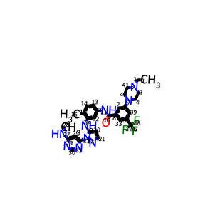 CCN1CCN(c2cc(C(=O)Nc3ccc(C)c(Nc4ccnn4-c4cc(NC)ncn4)c3)cc(C(F)(F)F)c2)CC1